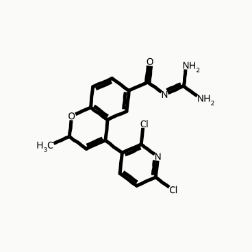 CC1C=C(c2ccc(Cl)nc2Cl)c2cc(C(=O)N=C(N)N)ccc2O1